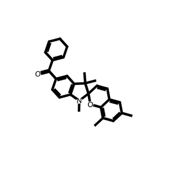 Cc1cc(C)c2c(c1)C=CC1(O2)N(C)c2ccc(C(=O)C3=CCCC=C3)cc2C1(C)C